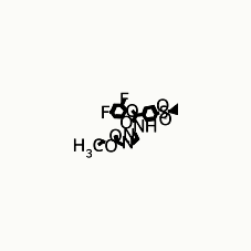 CCOC(=O)Cn1ccc(NC(=O)C(Oc2ccc(F)cc2F)c2ccc(S(=O)(=O)C3CC3)cc2)n1